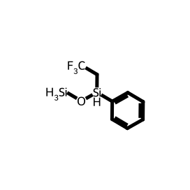 FC(F)(F)C[SiH](O[SiH3])c1ccccc1